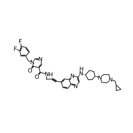 O=C(NCC#Cc1ccc2ncc(N[C@H]3CC[C@H](N4CCN(CC5CC5)CC4)CC3)nc2c1)c1cncn(Cc2ccc(F)c(F)c2)c1=O